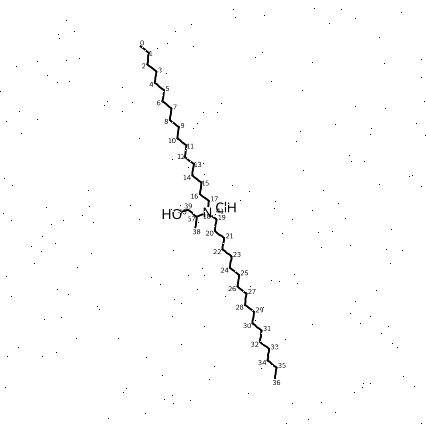 CCCCCCCCCCCCCCCCCCN(CCCCCCCCCCCCCCCCCC)C(C)CO.Cl